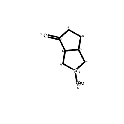 CC(C)(C)N1CC2CCC(=O)C2C1